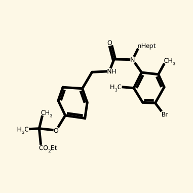 CCCCCCCN(C(=O)NCc1ccc(OC(C)(C)C(=O)OCC)cc1)c1c(C)cc(Br)cc1C